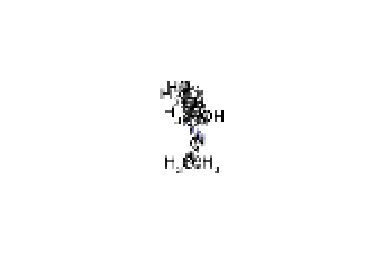 CN(C)CCO/N=C\C=C1\CC[C@@]2(C)[C@H](C1)[C@@H](O)C[C@@H]1[C@@H]2CC[C@]2(C)[C@@H](O)CC[C@@H]12